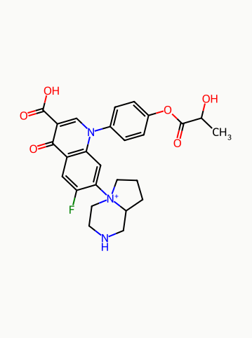 CC(O)C(=O)Oc1ccc(-n2cc(C(=O)O)c(=O)c3cc(F)c([N+]45CCCC4CNCC5)cc32)cc1